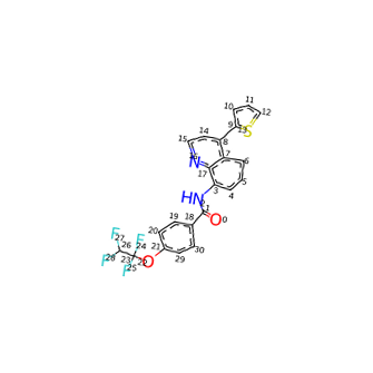 O=C(Nc1cccc2c(-c3cccs3)ccnc12)c1ccc(OC(F)(F)C(F)F)cc1